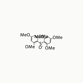 COc1cc(OC)c([S+]([O-])c2c(OC)cc(OC)cc2OC)c(OC)c1